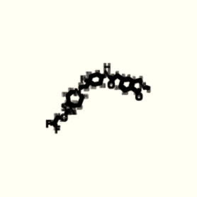 CN1Cc2cc(CC(=O)NC3CCC(F)(CCN4CCc5nc(OCC(F)F)sc5CC4)CC3)ccc2C1=O